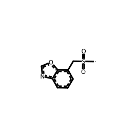 [CH2]S(=O)(=O)Cc1cccc2ncoc12